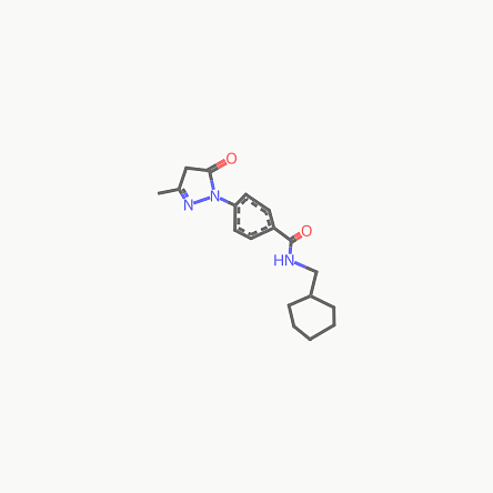 CC1=NN(c2ccc(C(=O)NCC3CCCCC3)cc2)C(=O)C1